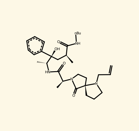 C=CCN1CCC[C@@]12CCN([C@@H](C)C(=O)N[C@H](C)[C@@](O)(C[C@H](C)C(=O)NCCCC)c1ccccc1)C2=O